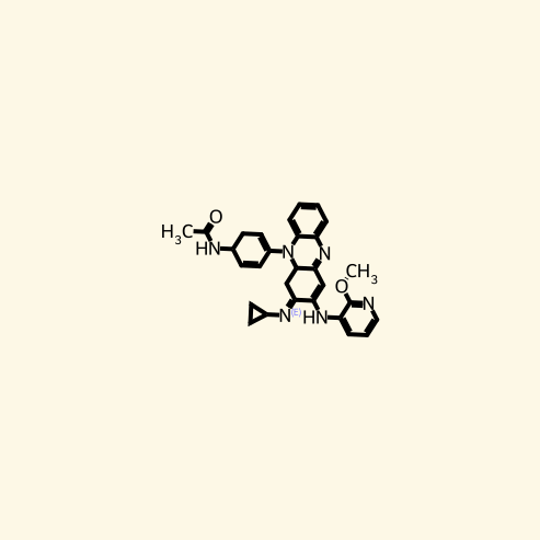 COc1ncccc1NC1=CC2=Nc3ccccc3N(C3=CCC(NC(C)=O)C=C3)C2C/C1=N\C1CC1